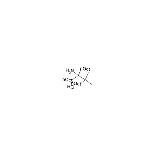 CCCCCCCCC(C)(C)C(N)(CCCCCCCC)CCCCCCCC.Cl